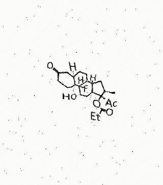 CCC(=O)O[C@@]1(C(C)=O)[C@H](C)C[C@H]2[C@@H]3CC[C@@H]4CC(=O)CC[C@]4(C)[C@@]3(F)[C@@H](O)C[C@@]21C